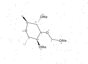 COCOC1[C@@H](OC)[C@H](C)O[C@@H](C)[C@@H]1OC